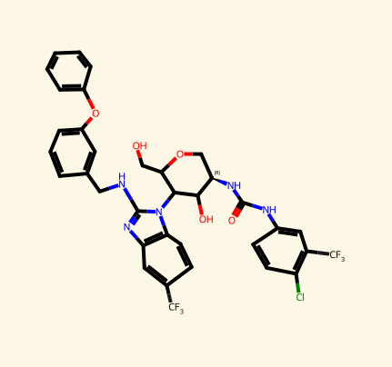 O=C(Nc1ccc(Cl)c(C(F)(F)F)c1)N[C@@H]1COC(CO)C(n2c(NCc3cccc(Oc4ccccc4)c3)nc3cc(C(F)(F)F)ccc32)C1O